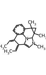 C/C=C1/C2=CN(C)C3N2c2c(cccc2C2(C)CC32C)/C1=C/C